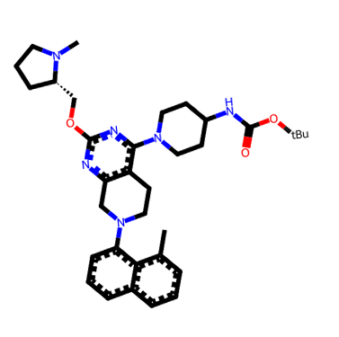 Cc1cccc2cccc(N3CCc4c(nc(OC[C@@H]5CCCN5C)nc4N4CCC(NC(=O)OC(C)(C)C)CC4)C3)c12